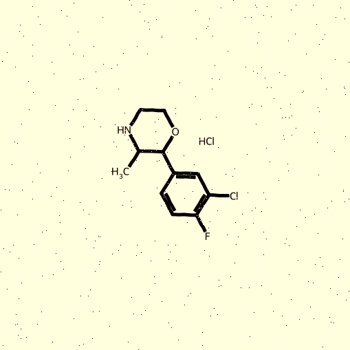 CC1NCCOC1c1ccc(F)c(Cl)c1.Cl